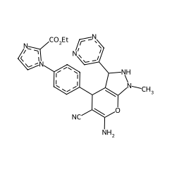 CCOC(=O)c1nccn1-c1ccc(C2C(C#N)=C(N)OC3=C2C(c2cncnc2)NN3C)cc1